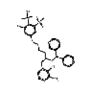 CC(C)(O)c1c(F)cc(OCCCN(Cc2cccc(C(F)(F)F)c2Cl)CC(c2ccccc2)c2ccccc2)cc1S(C)(=O)=O